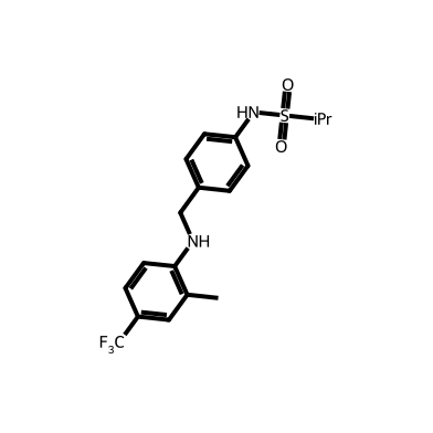 Cc1cc(C(F)(F)F)ccc1NCc1ccc(NS(=O)(=O)C(C)C)cc1